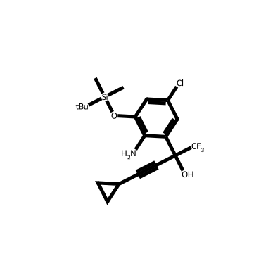 CC(C)(C)[Si](C)(C)Oc1cc(Cl)cc(C(O)(C#CC2CC2)C(F)(F)F)c1N